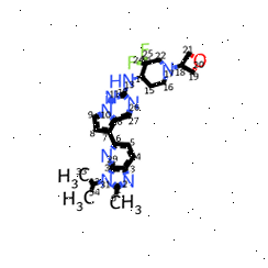 Cc1nc2ccc(-c3ccn4nc(N[C@@H]5CCN(C6COC6)CC5(F)F)ncc34)nc2n1C(C)C